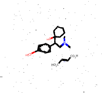 CN(C)CC(c1ccc(O)cc1)C1(O)CCCCC1.O=C(O)/C=C/C(=O)O